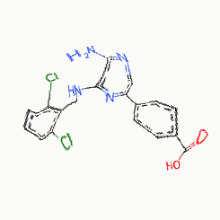 Nc1ncc(-c2ccc(C(=O)O)cc2)nc1NCc1c(Cl)cccc1Cl